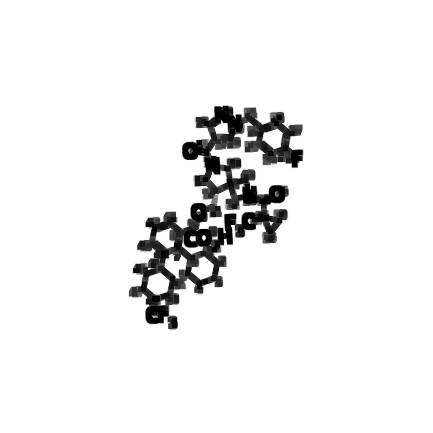 O=C(O)C1CCCCC1c1c(COC[C@@H]2CN(C(=O)c3cnn(Cc4ccc(F)cc4)c3)CC23CN(C(=O)C2(C(F)(F)F)CC2)C3)cccc1C1CCC(C(F)(F)F)CC1